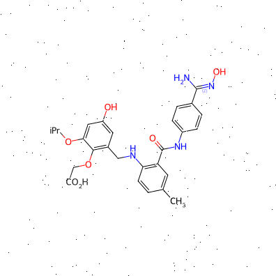 Cc1ccc(NCc2cc(O)cc(OC(C)C)c2OCC(=O)O)c(C(=O)Nc2ccc(/C(N)=N/O)cc2)c1